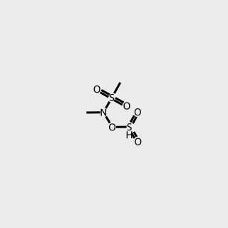 CN(O[SH](=O)=O)S(C)(=O)=O